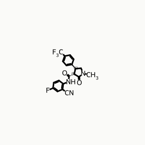 CN1C[C@H](c2ccc(C(F)(F)F)cc2)[C@@H](C(=O)Nc2ccc(F)cc2C#N)C1=O